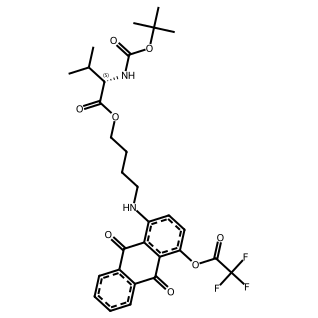 CC(C)[C@H](NC(=O)OC(C)(C)C)C(=O)OCCCCNc1ccc(OC(=O)C(F)(F)F)c2c1C(=O)c1ccccc1C2=O